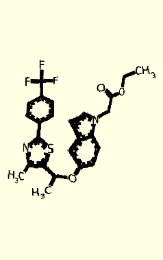 CCOC(=O)Cn1ccc2cc(OC(C)c3sc(-c4ccc(C(F)(F)F)cc4)nc3C)ccc21